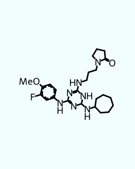 COc1ccc(NC2=NC(NC3CCCCCC3)NC(NCCCN3CCCC3=O)=N2)cc1F